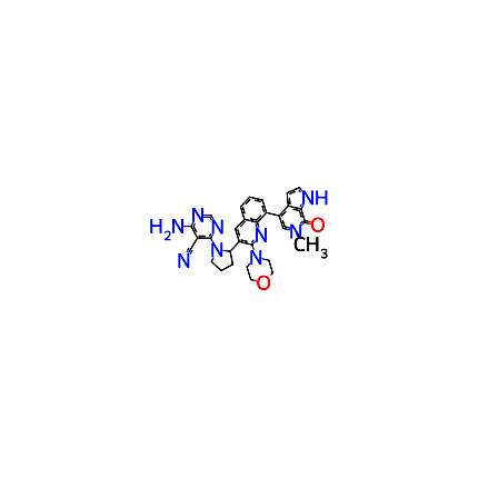 Cn1cc(-c2cccc3cc(C4CCCN4c4ncnc(N)c4C#N)c(N4CCOCC4)nc23)c2cc[nH]c2c1=O